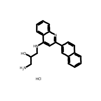 Cl.NCC(O)CNc1cc(-c2ccc3ccccc3c2)nc2ccccc12